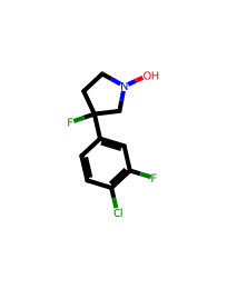 ON1CCC(F)(c2ccc(Cl)c(F)c2)C1